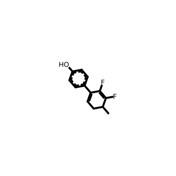 CC1CC=C(c2ccc(O)cc2)C(F)=C1F